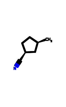 C[C@@H]1CC[C@H](C#N)C1